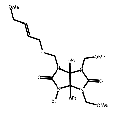 CCCC12N(CC)C(=O)N(COC/C=C/COC)C1(CCC)N(COC)C(=O)N2COC